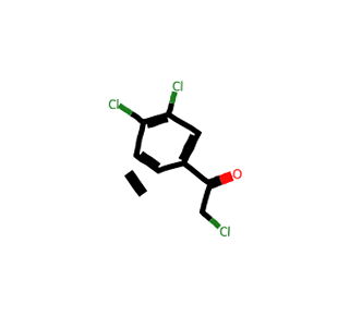 C=C.O=C(CCl)c1ccc(Cl)c(Cl)c1